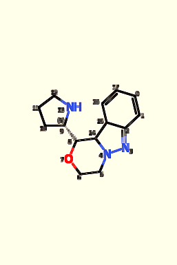 C1=CC2=NN3CCOC([C@@H]4CCCN4)C3C2C=C1